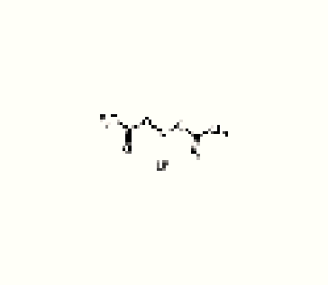 O=C(O[N-]OC(=O)C(F)(F)F)C(F)(F)F.[Li+]